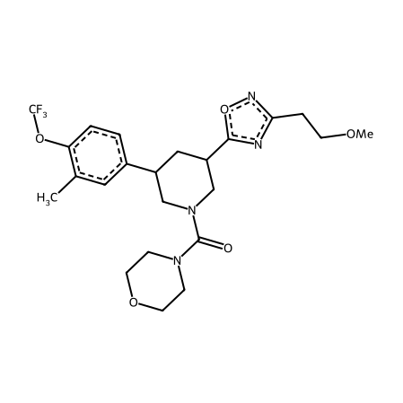 COCCc1noc(C2CC(c3ccc(OC(F)(F)F)c(C)c3)CN(C(=O)N3CCOCC3)C2)n1